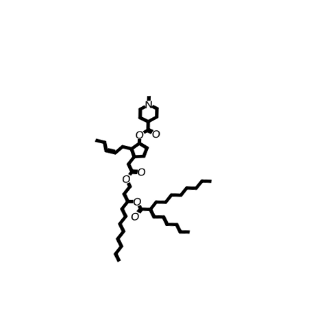 CC/C=C\CC1C(CC(=O)OCCC(CCCCCCCC)OC(=O)C(CCCCCC)CCCCCCCC)CCC1OC(=O)C1CCN(C)CC1